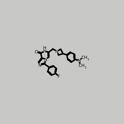 CN(C)c1ccc(C2CN(Cc3cn4c(-c5ccc(F)cc5)ncc4c(=O)[nH]3)C2)cc1